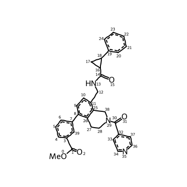 COC(=O)c1cccc(-c2ccc(CNC(=O)C3CC3c3ccccc3)c3c2CCN(C(=O)c2ccncc2)C3)c1